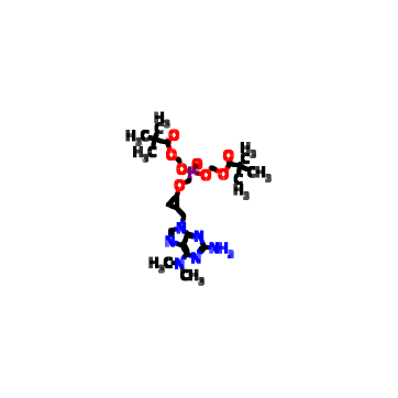 CN(C)c1nc(N)nc2c1ncn2CC1CC1OCP(=O)(OCOC(=O)C(C)(C)C)OCOC(=O)C(C)(C)C